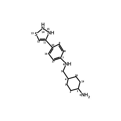 NC1CCC(CNc2ccc(C3=CSNN3)cc2)CC1